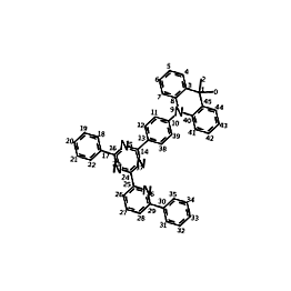 CC1(C)c2ccccc2N(c2ccc(-c3nc(-c4ccccc4)nc(-c4cccc(-c5ccccc5)n4)n3)cc2)c2ccccc21